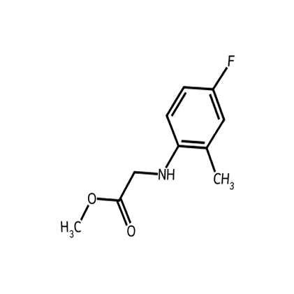 COC(=O)CNc1ccc(F)cc1C